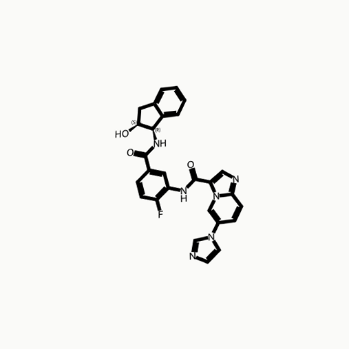 O=C(N[C@@H]1c2ccccc2C[C@@H]1O)c1ccc(F)c(NC(=O)c2cnc3ccc(-n4ccnc4)cn23)c1